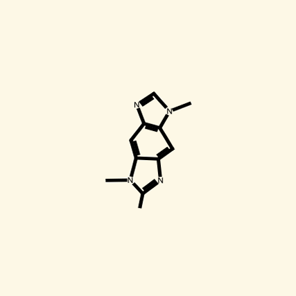 Cc1nc2cc3c(cc2n1C)ncn3C